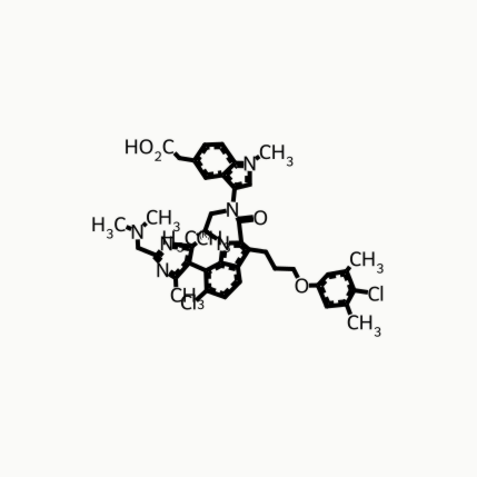 Cc1cc(OCCCc2c3n(c4c(-c5c(C)nc(CN(C)C)nc5C)c(Cl)ccc24)[C@H](C)CN(c2cn(C)c4ccc(CC(=O)O)cc24)C3=O)cc(C)c1Cl